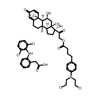 C[C@]12C=CC(=O)C=C1CC[C@@H]1[C@@H]2[C@@H](O)C[C@@]2(C)[C@H]1CC[C@]2(O)C(=O)COC(=O)CCCc1ccc(N(CCCl)CCCl)cc1.O=C(O)Cc1ccccc1Nc1c(Cl)cccc1Cl